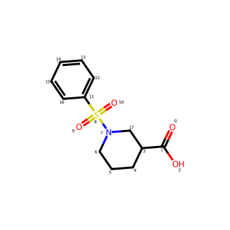 O=C(O)C1CCCN(S(=O)(=O)c2cc[c]cc2)C1